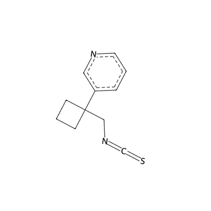 S=C=NCC1(c2cccnc2)CCC1